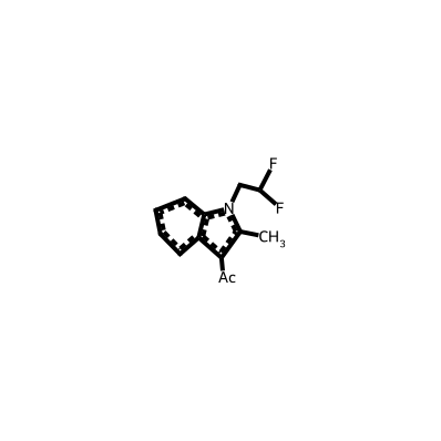 CC(=O)c1c(C)n(CC(F)F)c2ccccc12